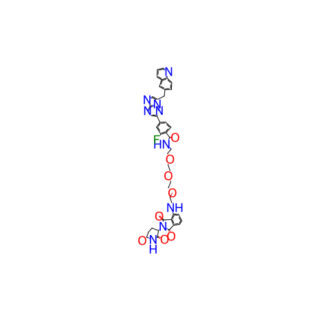 O=C1CCC(N2C(=O)c3cccc(NCCOCCOCCOCCNC(=O)c4ccc(-c5cnc6ncc(Cc7ccc8ncccc8c7)n6n5)cc4F)c3C2=O)C(=O)N1